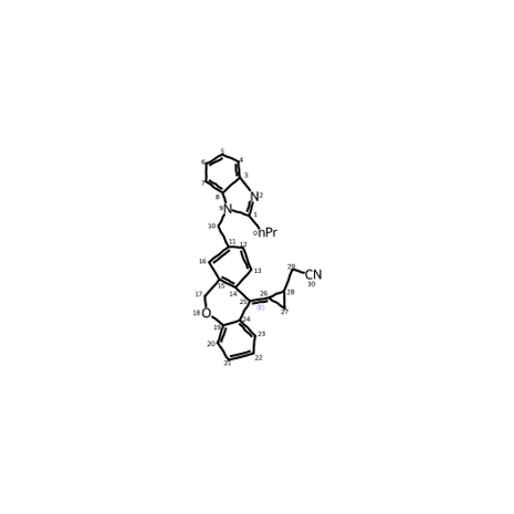 CCCc1nc2ccccc2n1Cc1ccc2c(c1)COc1ccccc1/C2=C1\CC1CC#N